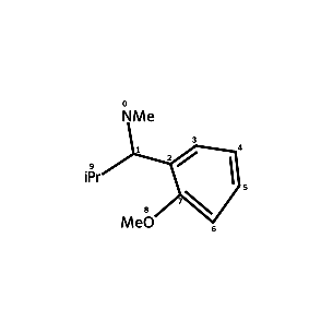 CNC(c1ccccc1OC)C(C)C